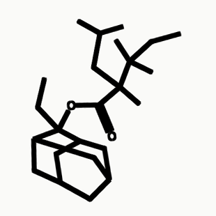 CCC1(OC(=O)C(C)(CC(C)C)C(C)(C)CC)C2CC3CC(C2)CC1C3